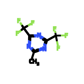 Cc1nc(C(F)(F)F)nc(C(F)(F)F)n1